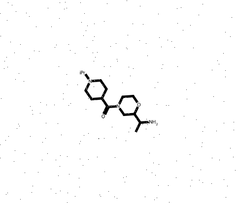 CC(N)C1CN(C(=O)C2CCN(C(C)C)CC2)CCO1